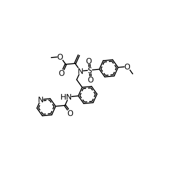 C=C(C(=O)OC)N(Cc1ccccc1NC(=O)c1cccnc1)S(=O)(=O)c1ccc(OC)cc1